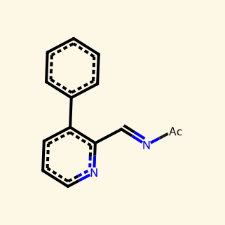 CC(=O)N=Cc1ncccc1-c1ccccc1